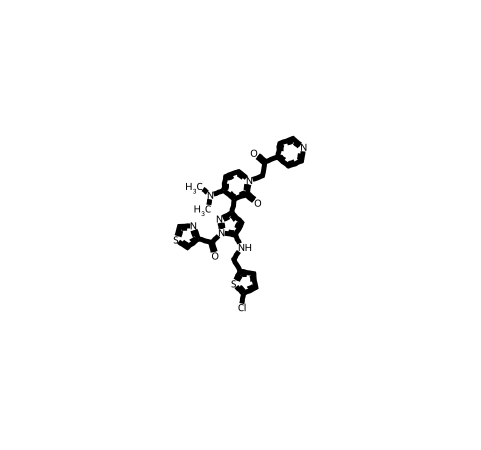 CN(C)c1ccn(CC(=O)c2ccncc2)c(=O)c1-c1cc(NCc2ccc(Cl)s2)n(C(=O)c2cscn2)n1